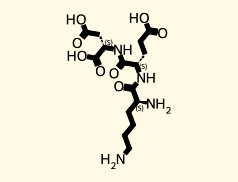 NCCCC[C@H](N)C(=O)N[C@@H](CCC(=O)O)C(=O)N[C@@H](CC(=O)O)C(=O)O